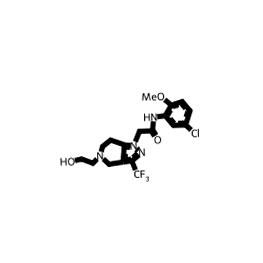 COc1ccc(Cl)cc1NC(=O)Cn1nc(C(F)(F)F)c2c1CCN(CCO)C2